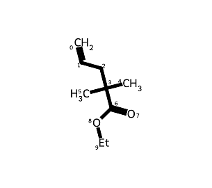 C=CCC(C)(C)C(=O)OCC